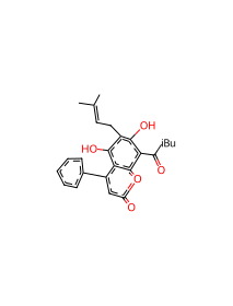 CCC(C)C(=O)c1c(O)c(CC=C(C)C)c(O)c2c(-c3ccccc3)cc(=O)oc12